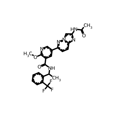 COc1ncc(-c2ccc3nc(NC(C)=O)cn3n2)cc1C(=O)NC(C)c1ccccc1C(F)(F)F